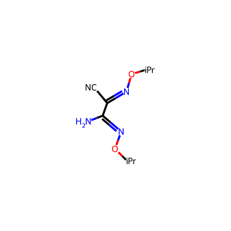 CC(C)ON=C(N)C(C#N)=NOC(C)C